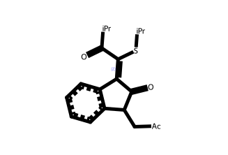 CC(=O)CC1C(=O)/C(=C(\SC(C)C)C(=O)C(C)C)c2ccccc21